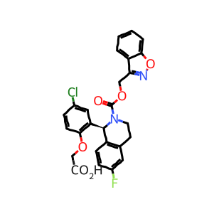 O=C(O)COc1ccc(Cl)cc1[C@@H]1c2ccc(F)cc2CCN1C(=O)OCc1noc2ccccc12